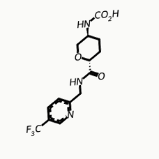 O=C(O)N[C@H]1CC[C@H](C(=O)NCc2ccc(C(F)(F)F)cn2)OC1